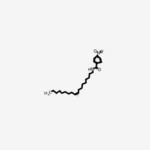 CCCCCCCC/C=C\CCCCCCCCNC(=O)c1ccc([N+](=O)[O-])cc1